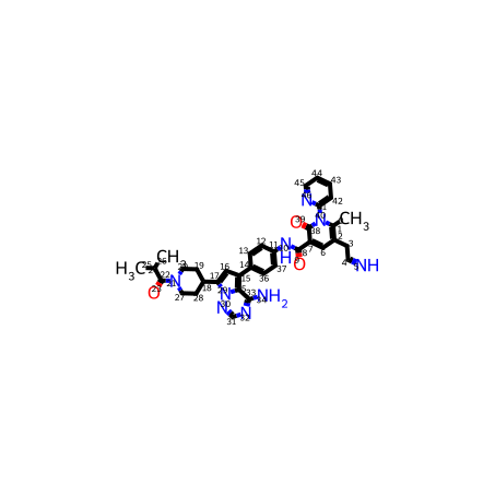 Cc1c(CC=N)cc(C(=O)Nc2ccc(-c3cc(C4CCN(C(=O)C(C)C)CC4)n4ncnc(N)c34)cc2)c(=O)n1-c1ccccn1